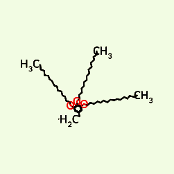 [CH2]Cc1cc(OCCCCCCCCCCCCCCCC)c(OCCCCCCCCCCCCCCCC)c(OCCCCCCCCCCCCCCCC)c1